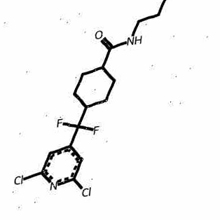 CCCCNC(=O)C1CCC(C(F)(F)c2cc(Cl)nc(Cl)c2)CC1